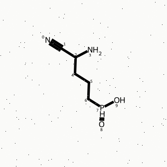 N#CC(N)CCC[PH](=O)O